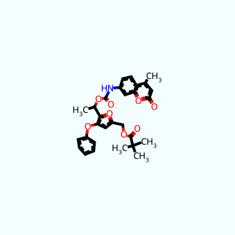 Cc1cc(=O)oc2cc(NC(=O)OC(C)c3oc(COC(=O)C(C)(C)C)cc3Oc3ccccc3)ccc12